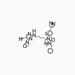 CCC/C(CCCCNc1ncc(C#N)c(N2CCOC2)n1)=[N+](\C(=O)NCc1ccccc1)c1ccc(-c2cnn(C)c2)cn1